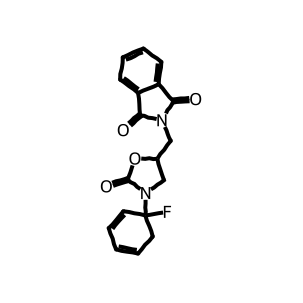 O=C1c2ccccc2C(=O)N1CC1CN(C2(F)C=CC=CC2)C(=O)O1